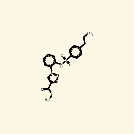 CCCc1ccc(S(=O)(=O)Nc2ccccc2-n2cc(C(=O)OC)nn2)cc1